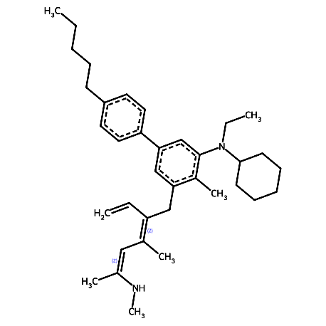 C=C/C(Cc1cc(-c2ccc(CCCCC)cc2)cc(N(CC)C2CCCCC2)c1C)=C(C)\C=C(\C)NC